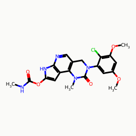 CNC(=O)Oc1cc2c3c(cnc2[nH]1)CN(c1cc(OC)cc(OC)c1Cl)C(=O)N3C